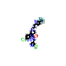 O=C(NCc1ccnc(Cl)c1)n1c2c(c3ccc(Cl)cc31)CN(C/C=C/c1ccc(C(F)(F)F)cn1)CC2